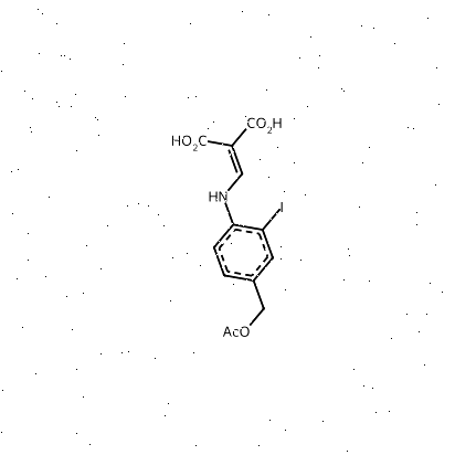 CC(=O)OCc1ccc(NC=C(C(=O)O)C(=O)O)c(I)c1